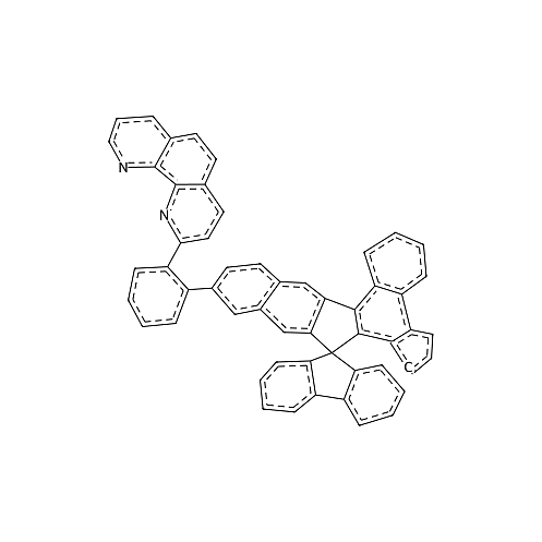 c1ccc(-c2ccc3ccc4cccnc4c3n2)c(-c2ccc3cc4c(cc3c2)C2(c3ccccc3-c3ccccc32)c2c-4c3ccccc3c3ccccc23)c1